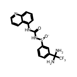 NC(N)(c1cccc([S+]([O-])NC(=O)Nc2cccc3ncccc23)c1)C(F)(F)F